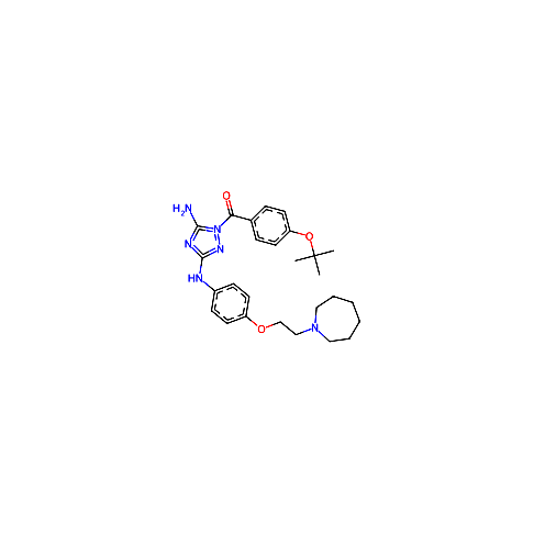 CC(C)(C)Oc1ccc(C(=O)n2nc(Nc3ccc(OCCN4CCCCCC4)cc3)nc2N)cc1